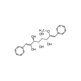 COC(=Cc1ccccc1)[C@H](O)[C@@H](O)[C@H](O)[C@H](O)C(O)=Cc1ccccc1